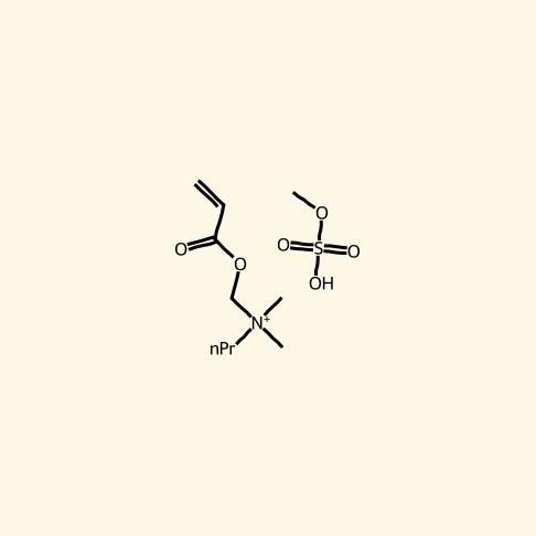 C=CC(=O)OC[N+](C)(C)CCC.COS(=O)(=O)O